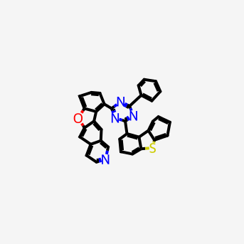 c1ccc(-c2nc(-c3cccc4oc5cc6ccncc6cc5c34)nc(-c3cccc4sc5ccccc5c34)n2)cc1